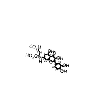 O=C(O)CC[C@H](Nc1cc(O)c2c(=O)c(O)c(-c3ccc(O)c(O)c3)oc2c1)C(=O)O